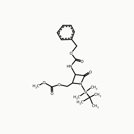 COC(=O)OCC1C(NC(=O)OCc2ccccc2)C(=O)N1[Si](C)(C)C(C)(C)C